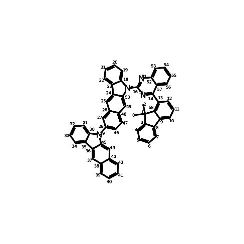 CC1(C)c2ccccc2-c2cccc(-c3nc(-n4c5ccccc5c5cc6cc(-n7c8ccccc8c8cc9ccccc9cc87)ccc6cc54)nc4ccccc34)c21